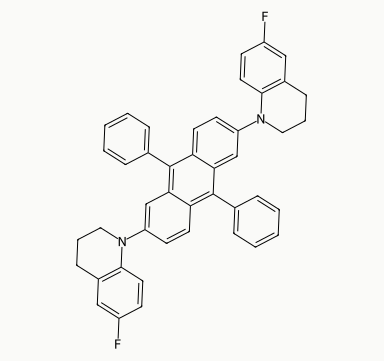 Fc1ccc2c(c1)CCCN2c1ccc2c(-c3ccccc3)c3cc(N4CCCc5cc(F)ccc54)ccc3c(-c3ccccc3)c2c1